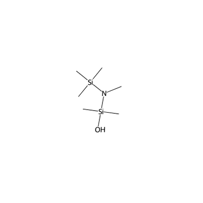 CN([Si](C)(C)C)[Si](C)(C)O